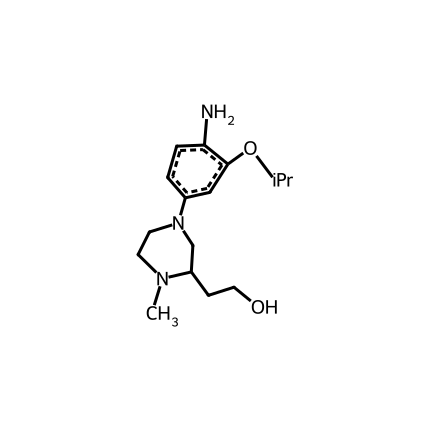 CC(C)Oc1cc(N2CCN(C)C(CCO)C2)ccc1N